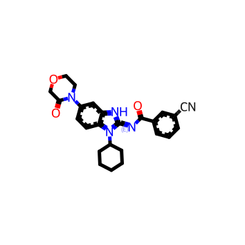 N#Cc1cccc(C(=O)/N=c2\[nH]c3cc(N4CCOCC4=O)ccc3n2C2CCCCC2)c1